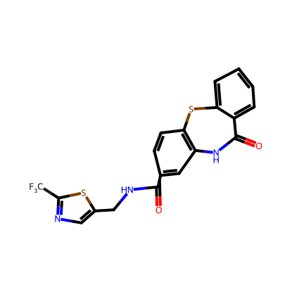 O=C(NCc1cnc(C(F)(F)F)s1)c1ccc2c(c1)NC(=O)c1ccccc1S2